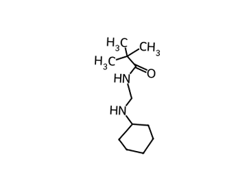 CC(C)(C)C(=O)NCNC1CCCCC1